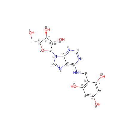 OC[C@H]1OC(n2cnc3c(NCc4c(O)cc(O)cc4O)ncnc32)[C@@H](O)[C@@H]1O